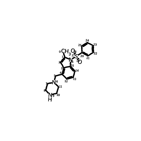 Cc1cc2c(CN3CCNCC3)cccc2n1S(=O)(=O)c1ccccc1